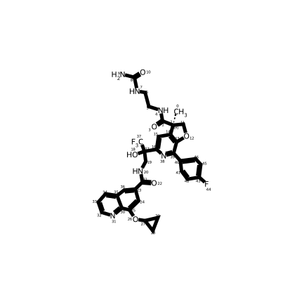 C[C@]1(C(=O)NCCNC(N)=O)COc2c1cc(C(O)(CNC(=O)c1cc(OC3CC3)c3ncccc3c1)C(F)(F)F)nc2-c1ccc(F)cc1